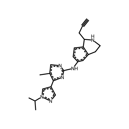 C#CCC1NCCc2cc(Nc3ncc(C)c(-c4cnn(C(C)C)c4)n3)ccc21